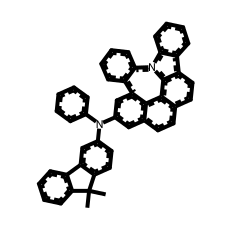 CC1(C)c2ccccc2-c2cc(N(c3ccccc3)c3cc4ccc5ccc6c7ccccc7n7c8ccccc8c(c3)c4c5c67)ccc21